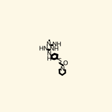 CN(C)C(=N)NC(=N)Nc1ccc(SCC(=O)N2CCCCC2)cc1